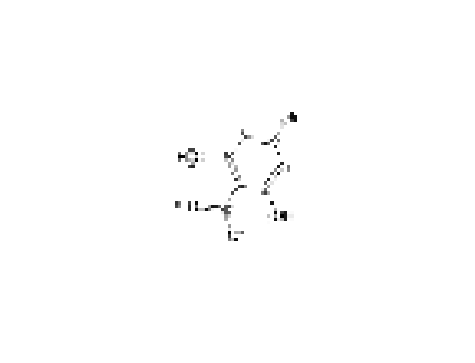 Cc1cc(Br)cc(O)c1[N+](=O)[O-]